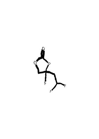 O=C1OCC(F)(CC(F)F)O1